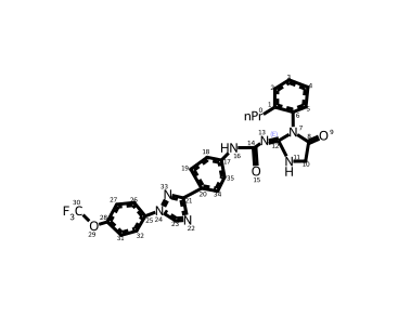 CCCc1ccccc1N1C(=O)CN/C1=N\C(=O)Nc1ccc(-c2ncn(-c3ccc(OC(F)(F)F)cc3)n2)cc1